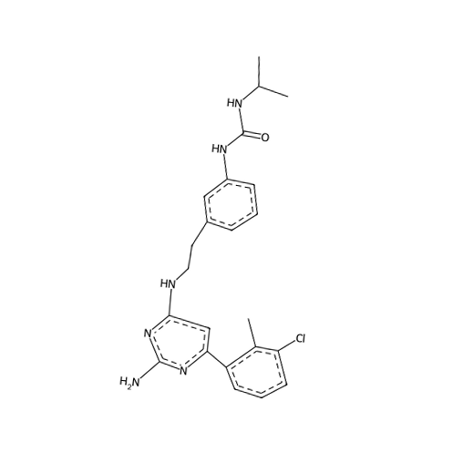 Cc1c(Cl)cccc1-c1cc(NCCc2cccc(NC(=O)NC(C)C)c2)nc(N)n1